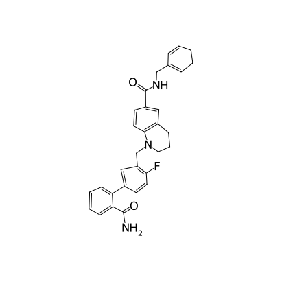 NC(=O)c1ccccc1-c1ccc(F)c(CN2CCCc3cc(C(=O)NCC4=CCCC=C4)ccc32)c1